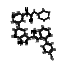 O=C(CC1CCCCC1)Nc1cncc(-c2cnc3[nH]nc(-c4cc5c(-c6ccc(F)cc6)nccc5[nH]4)c3c2)c1